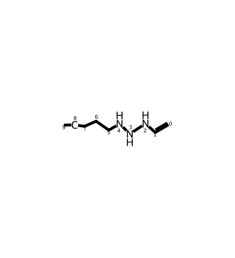 C=CNNNCCCCC